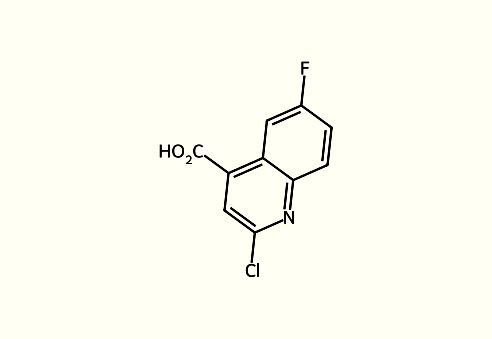 O=C(O)c1cc(Cl)nc2ccc(F)cc12